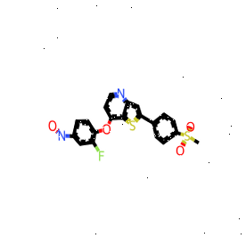 CS(=O)(=O)c1ccc(-c2cc3nccc(Oc4ccc(N=O)cc4F)c3s2)cc1